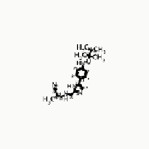 CC(C)C(C)(C)OBc1ccc(-c2cnc(CNC[C@H](C)C#N)[nH]2)cc1